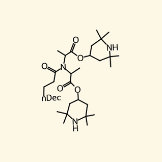 CCCCCCCCCCCCC(=O)N(C(C)C(=O)OC1CC(C)(C)NC(C)(C)C1)C(C)C(=O)OC1CC(C)(C)NC(C)(C)C1